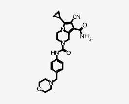 N#Cc1c(C(N)=O)c2n(c1C1CC1)CCN(C(=O)Nc1ccc(CN3CCOCC3)cc1)C2